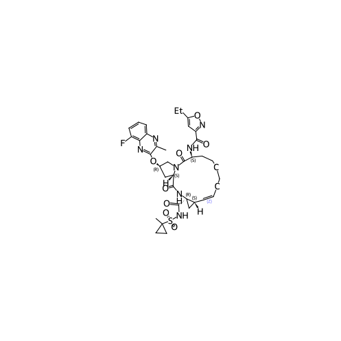 CCc1cc(C(=O)N[C@H]2CCCCC/C=C\[C@@H]3C[C@@]3(C(=O)NS(=O)(=O)C3(C)CC3)NC(=O)[C@@H]3C[C@@H](Oc4nc5c(F)cccc5nc4C)CN3C2=O)no1